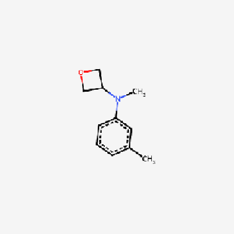 Cc1cccc(N(C)C2COC2)c1